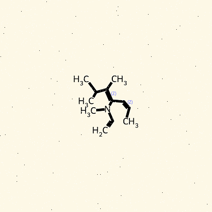 C=CN(C)C(/C=C\C)=C(/C)C(C)C